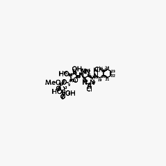 COP(=O)(CP(=O)(O)O)OC[C@H]1O[C@@H](n2nnc3c(NCc4ccccc4Cl)nc(Cl)nc32)[C@H](O)[C@@H]1O